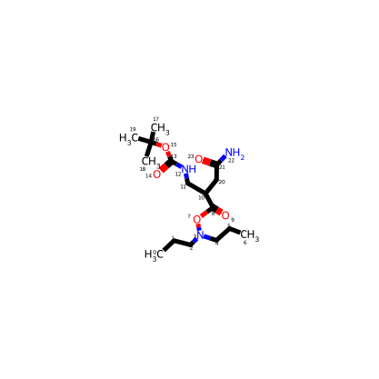 CCCN(CCC)OC(=O)C(CNC(=O)OC(C)(C)C)CC(N)=O